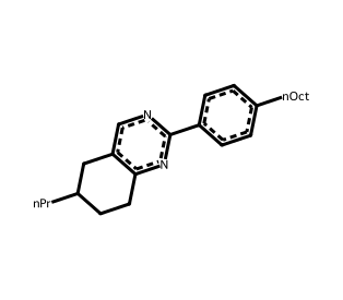 CCCCCCCCc1ccc(-c2ncc3c(n2)CCC(CCC)C3)cc1